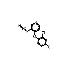 [N-]=[N+]=Nc1cnccc1Oc1ccc(Cl)cc1Cl